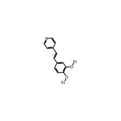 CCOc1ccc(/C=C/c2ccncc2)cc1OCC